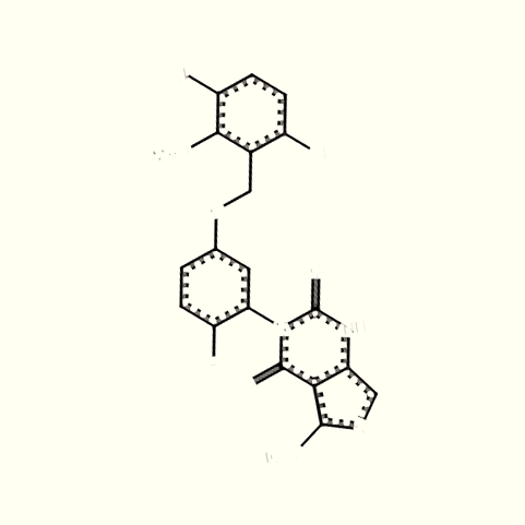 COc1c(Cl)ccc(Cl)c1COc1ccc(F)c(-n2c(=O)[nH]c3csc(C(=O)O)c3c2=O)c1